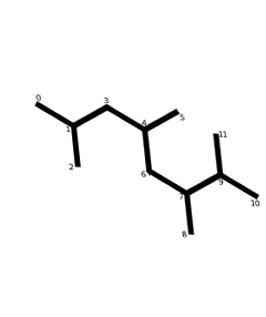 CC(C)CC(C)[CH]C(C)C(C)C